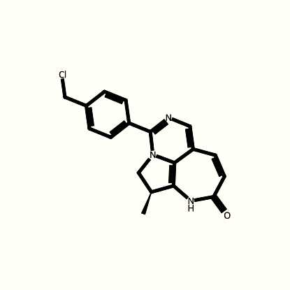 C[C@H]1CN2C(c3ccc(CCl)cc3)=NC=C3C=CC(=O)NC1=C32